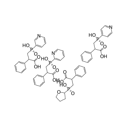 O=C(O)C(CP(=O)(O)C1CCCO1)c1ccccc1.O=C(O)C(CP(=O)(O)c1ccccn1)c1ccccc1.O=C(O)C(CP(=O)(O)c1cccnc1)c1ccccc1.O=C(O)C(CP(=O)(O)c1ccncc1)c1ccccc1